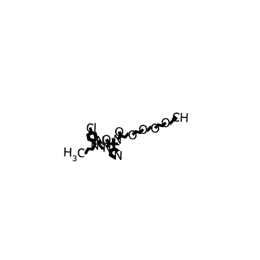 C#CCOCCOCCOCCOCCC(=O)N1CC2(C1)C(=O)N(Cc1nc3cc(Cl)ccc3n1CCCC)c1ccncc12